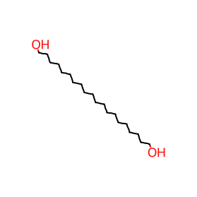 OCCCCCCCCCCCCCCCCCCCCO